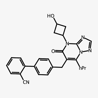 CCCc1c(Cc2ccc(-c3ccccc3C#N)cc2)c(=O)n(C2CC(O)C2)c2ncnn12